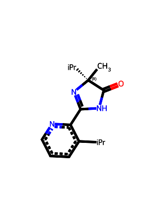 CC(C)c1cccnc1C1=N[C@](C)(C(C)C)C(=O)N1